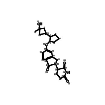 CC1(O)CN(C2CCCC2Oc2ccc3c(c2)CN(C2CCC(=O)NC2=O)C3=O)C1